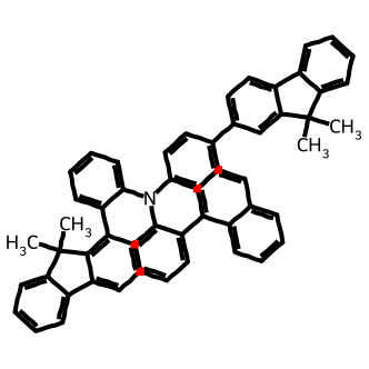 CC1(C)c2ccccc2-c2ccc(-c3ccc(N(c4ccccc4-c4cccc5c4C(C)(C)c4ccccc4-5)c4ccccc4-c4cccc5ccccc45)cc3)cc21